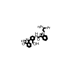 CCCC(CCC)CCn1nc(C(=O)Nc2ccc(-c3n[nH]c(=O)c4ccccc34)c(CO)c2)c2ccccc21